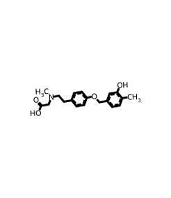 Cc1ccc(COc2ccc(CCN(C)CC(=O)O)cc2)cc1O